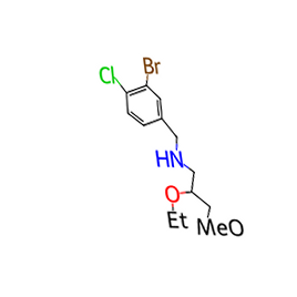 CCOC(CNCc1ccc(Cl)c(Br)c1)COC